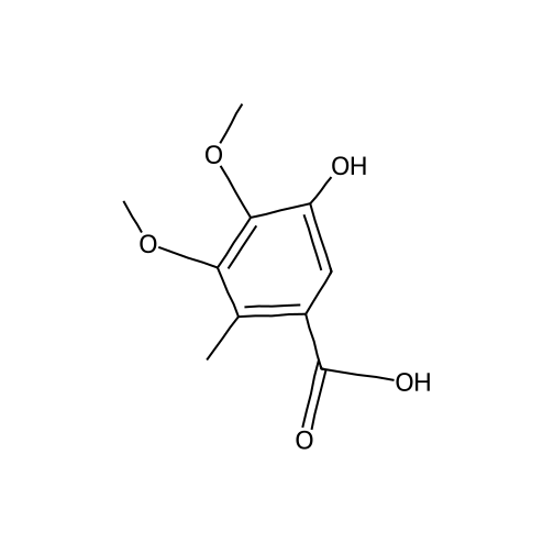 COc1c(O)cc(C(=O)O)c(C)c1OC